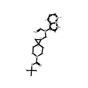 CC(C)(C)OC(=O)N1CCC2(CC1)CC2CN(C=O)c1cnn2ncccc12